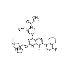 C=CC(=O)N1CCN(c2nc(OC[C@@]34CCCN3C[C@H](F)C4)nc3c(F)c(-c4ccc(F)c5c4CCCC5)ncc23)C[C@@H]1CC#N